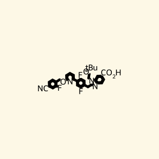 CC(C)(C)OCCn1c(Cc2cc(F)c(-c3cccc(OCc4ccc(C#N)cc4F)n3)cc2F)nc2ccc(C(=O)O)cc21